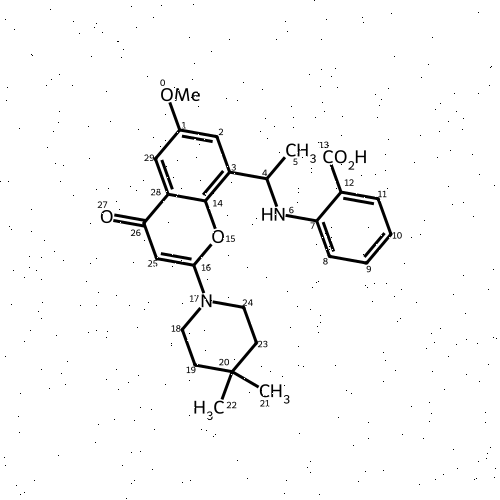 COc1cc(C(C)Nc2ccccc2C(=O)O)c2oc(N3CCC(C)(C)CC3)cc(=O)c2c1